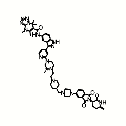 C=C1CCC(N2C(=O)c3ccc(N4CCN(CC5CCN(CCN6CCN(c7cc(-c8n[nH]c9ccc(NC(=O)C%10=C(C)N(C)c%11nnnn%11C%10(C)C)cc89)ccn7)C[C@@H]6C)CC5)CC4)cc3C2=O)C(=O)N1